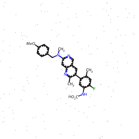 COc1ccc(CN(C)c2cc3nc(C)c(-c4cc(NC(=O)O)c(F)cc4C)cc3cn2)cc1